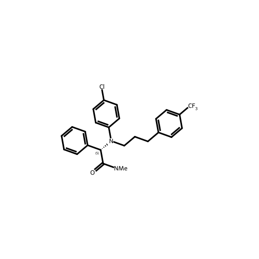 CNC(=O)[C@H](c1ccccc1)N(CCCc1ccc(C(F)(F)F)cc1)c1ccc(Cl)cc1